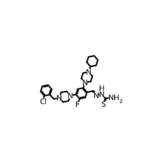 NC(=S)NN=Cc1cc(F)c(N2CCN(Cc3ccccc3Cl)CC2)cc1N1CCN(C2CCCCC2)CC1